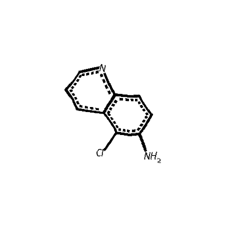 Nc1ccc2ncccc2c1Cl